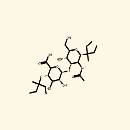 CCC(C)(CC)O[C@@H]1C(C(=O)O)O[C@@H](O[C@@H]2C(NC(C)=O)[C@H](C(C)(CC)CC)OC(CO)[C@H]2O)[C@@H](O)C1O